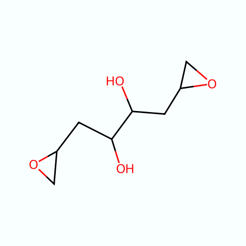 OC(CC1CO1)C(O)CC1CO1